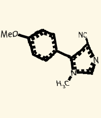 COc1ccc(-c2c(C#N)ncn2C)cc1